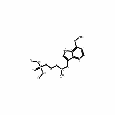 CCCCOc1ncnc2c(CN(C)CCCP(=O)(OCC)OCC)c[nH]c12